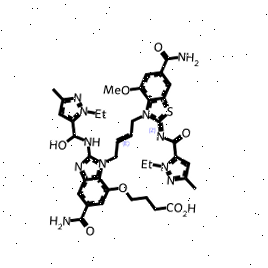 CCn1nc(C)cc1C(=O)/N=c1\sc2cc(C(N)=O)cc(OC)c2n1C/C=C/Cn1c(NC(O)c2cc(C)nn2CC)nc2cc(C(N)=O)cc(OCCCC(=O)O)c21